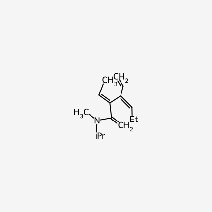 C=CC(=C/CC)/C(=C\C)C(=C)N(C)C(C)C